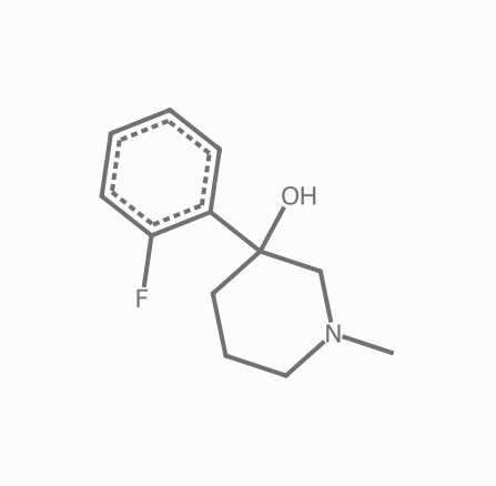 CN1CCCC(O)(c2ccccc2F)C1